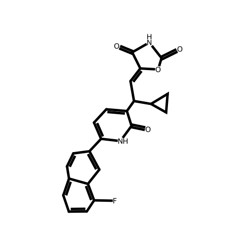 O=C1NC(=O)C(=CC(c2ccc(-c3ccc4cccc(F)c4c3)[nH]c2=O)C2CC2)O1